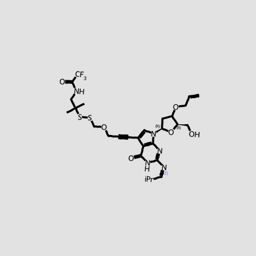 C=CCOC1C[C@H](n2cc(C#CCOCSSC(C)(C)CNC(=O)C(F)(F)F)c3c(=O)[nH]c(/N=C\C(C)C)nc32)O[C@@H]1CO